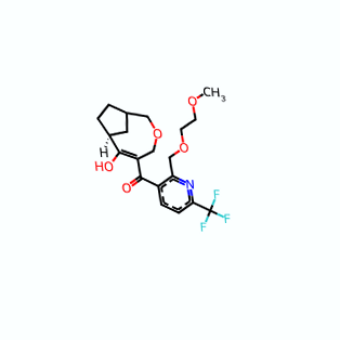 COCCOCc1nc(C(F)(F)F)ccc1C(=O)/C1=C(\O)[C@H]2CCC(COC1)C2